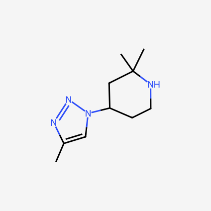 Cc1cn(C2CCNC(C)(C)C2)nn1